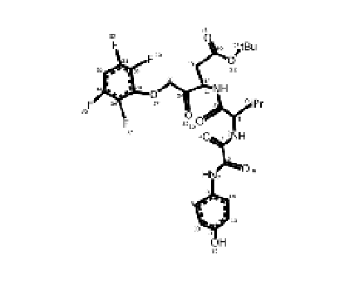 CC(C)C(NC(=O)C(=O)Nc1ccc(O)cc1)C(=O)NC(CC(=O)OC(C)(C)C)C(=O)COc1c(F)c(F)cc(F)c1F